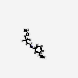 CCOCC(C)(C)C/C=C/c1cccc(C(C)(C)C)c1